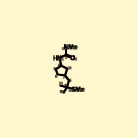 CNC(=O)NC1CCC(CC(C)(C)SC)C1